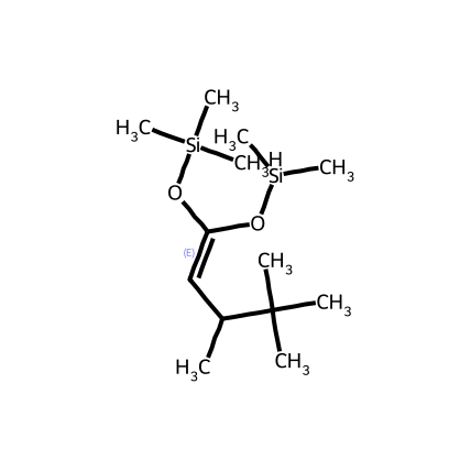 CC(/C=C(\O[SiH](C)C)O[Si](C)(C)C)C(C)(C)C